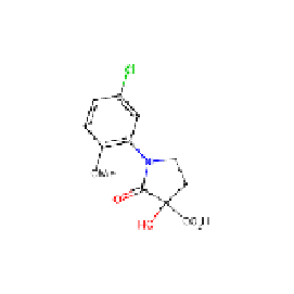 COc1ccc(Cl)cc1N1CCC(O)(C(=O)O)C1=O